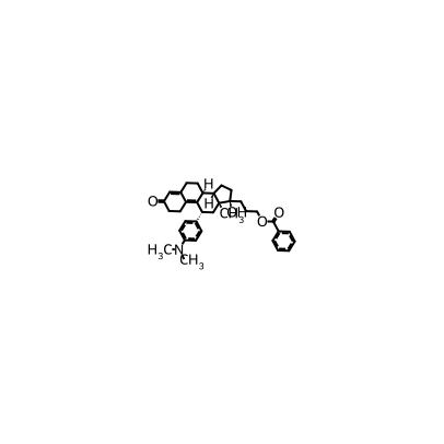 CN(C)c1ccc([C@H]2C[C@]3(C)[C@@H](CC[C@]3(O)CCCOC(=O)c3ccccc3)[C@@H]3CCC4=CC(=O)CCC4=C32)cc1